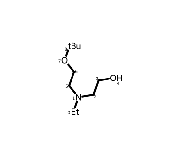 CCN(CCO)CCOC(C)(C)C